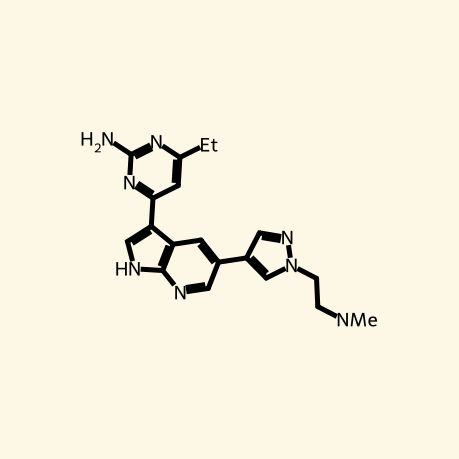 CCc1cc(-c2c[nH]c3ncc(-c4cnn(CCNC)c4)cc23)nc(N)n1